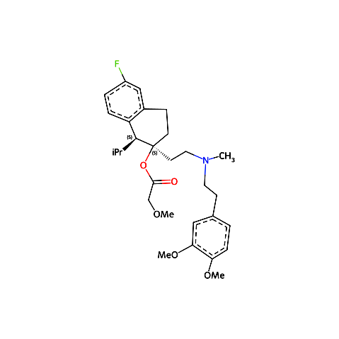 COCC(=O)O[C@]1(CCN(C)CCc2ccc(OC)c(OC)c2)CCc2cc(F)ccc2[C@@H]1C(C)C